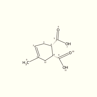 CC1=CC[C@H](C(=O)O)[C@H](C(=O)O)C1